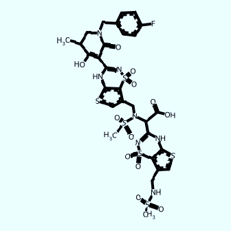 CC1CN(Cc2ccc(F)cc2)C(=O)C(C2=NS(=O)(=O)c3c(CN(C(C(=O)O)C4=NS(=O)(=O)c5c(CNS(C)(=O)=O)csc5N4)S(C)(=O)=O)csc3N2)=C1O